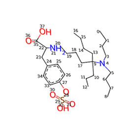 CCCCN(CCCC)C(CCC)(CCCC)CCCC.NC(Cc1ccc(OS(=O)(=O)O)cc1)C(=O)O